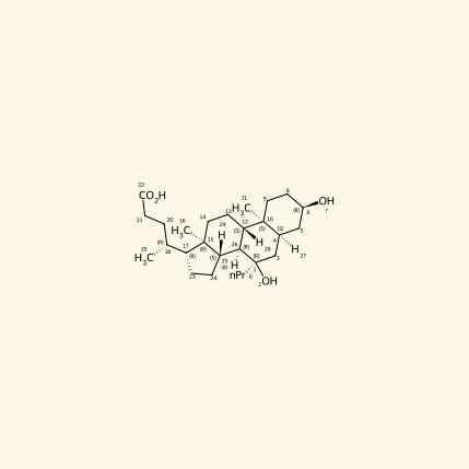 CCC[C@@]1(O)C[C@@H]2C[C@H](O)CC[C@]2(C)[C@H]2CC[C@]3(C)[C@@H]([C@H](C)CCC(=O)O)CC[C@H]3[C@@H]21